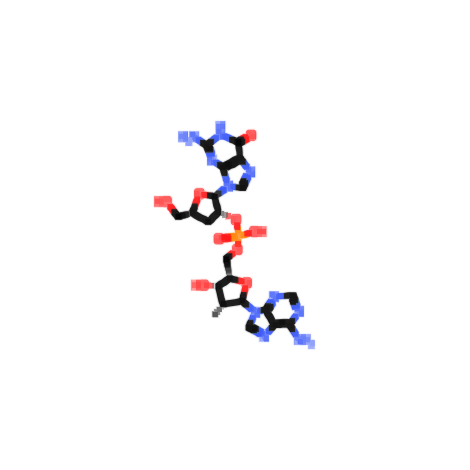 C[C@H]1C(n2cnc3c(N)ncnc32)O[C@H](COP(=O)(O)O[C@@H]2C[C@@H](CO)O[C@H]2n2cnc3c(=O)[nH]c(N)nc32)[C@H]1O